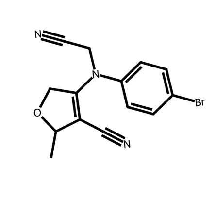 CC1OCC(N(CC#N)c2ccc(Br)cc2)=C1C#N